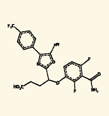 CCCc1oc(C(CCC(=O)O)Oc2ccc(F)c(C(N)=O)c2F)nc1-c1ccc(C(F)(F)F)cc1